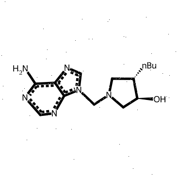 CCCC[C@H]1CN(Cn2cnc3c(N)ncnc32)C[C@@H]1O